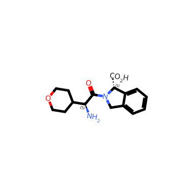 N[C@H](C(=O)N1Cc2ccccc2[C@H]1C(=O)O)C1CCOCC1